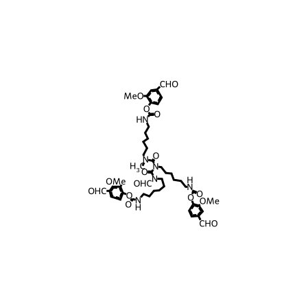 COc1cc(C=O)ccc1OC(=O)NCCCCCCN(C)C(=O)N(CCCCCCNC(=O)Oc1ccc(C=O)cc1OC)C(=O)N(C=O)CCCCCCNC(=O)Oc1ccc(C=O)cc1OC